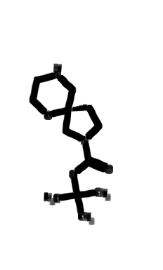 CC(C)(C)OC(=O)N1CC[C@]2(CNCCO2)C1